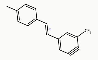 Cc1ccc(/C=C/c2cc#cc(C(F)(F)F)c2)cc1